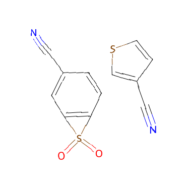 N#Cc1ccc2c(c1)S2(=O)=O.N#Cc1ccsc1